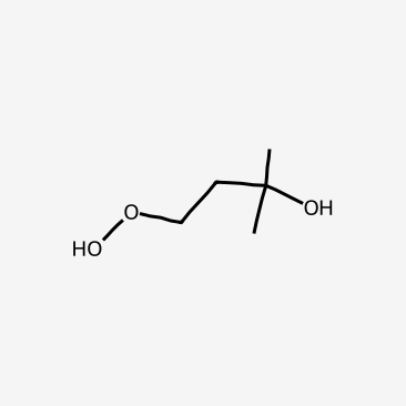 CC(C)(O)CCOO